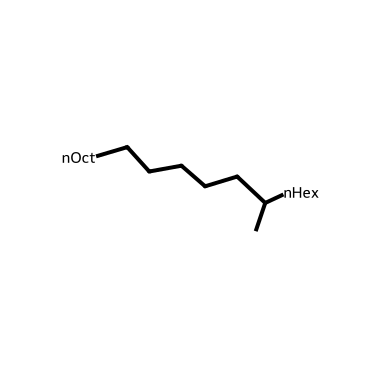 CCCCCCCCCCCCCC(C)CCCCCC